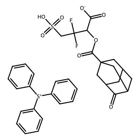 O=C1C2CC3CC1CC(C(=O)OC(C(=O)[O-])C(F)(F)CS(=O)(=O)O)(C3)C2.c1ccc([S+](c2ccccc2)c2ccccc2)cc1